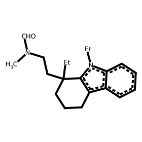 CCn1c2c(c3ccccc31)CCCC2(CC)CCN(C)C=O